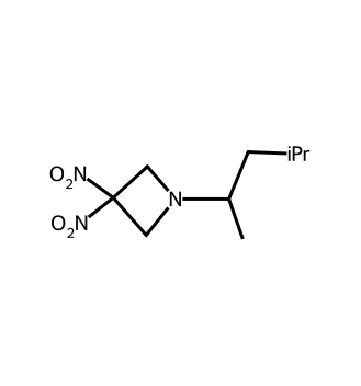 CC(C)CC(C)N1CC([N+](=O)[O-])([N+](=O)[O-])C1